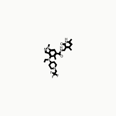 CCN(c1c(C)c(C(=O)NCc2c(C)cc(C)[nH]c2=O)cc2c1cnn2C)C1CCN(CC(F)(F)F)CC1